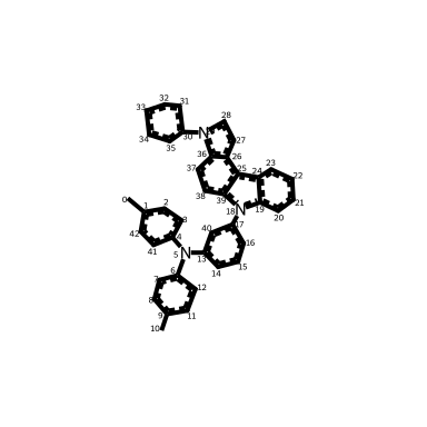 Cc1ccc(N(c2ccc(C)cc2)c2cccc(-n3c4ccccc4c4c5ccn(-c6ccccc6)c5ccc43)c2)cc1